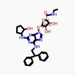 CCNC(=O)[C@H]1O[C@@H](On2cnc3c(NCC(c4ccccc4)c4ccccc4)nc(NC4CCCC4O)nc32)[C@H](O)[C@@H]1O